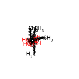 CCCCCCCCC1=C(C(=O)O)C(C(=O)O)=C(CCCCCCCC)C(CCCCCCCC)(C(=O)O)C1(CCCCCCCC)C(=O)O